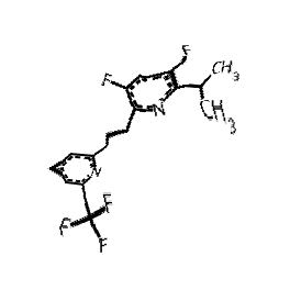 CC(C)c1nc(CCc2cccc(C(F)(F)F)n2)c(F)cc1F